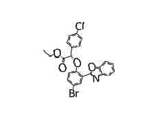 CCOC(=O)C(Oc1ccc(Br)cc1-c1nc2ccccc2o1)c1ccc(Cl)cc1